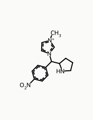 C[n+]1ccn(C(c2ccc([N+](=O)[O-])cc2)C2CCCN2)c1